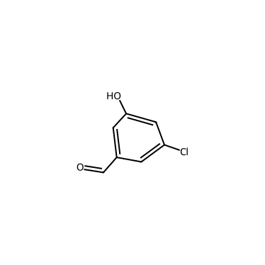 O=Cc1cc(O)cc(Cl)c1